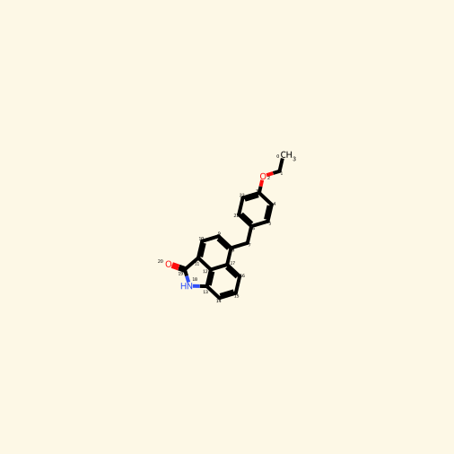 CCOc1ccc(Cc2ccc3c4c(cccc24)NC3=O)cc1